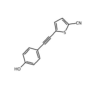 N#Cc1ccc(C#Cc2ccc(O)cc2)s1